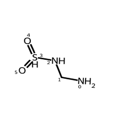 NCN[SH](=O)=O